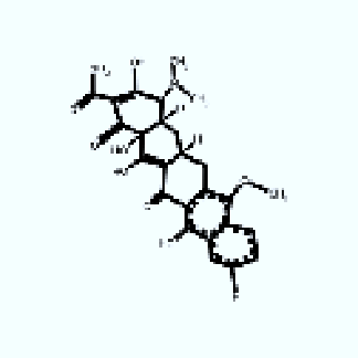 COc1c2c(c(O)c3cc(F)ccc13)C(=O)C1=C(O)[C@]3(O)C(=O)C(C(N)=O)=C(O)[C@@H](N(C)C)[C@@H]3C[C@@H]1C2